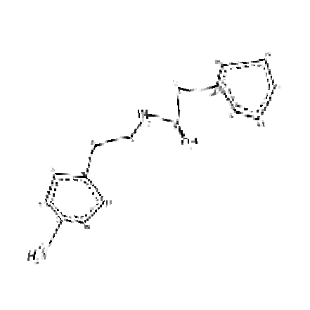 Nc1ccc(CCN[C@H](O)Cc2ccccc2)cc1